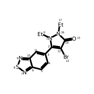 CCn1c(-c2ccc3nsnc3c2)c(Br)c(=O)n1CC